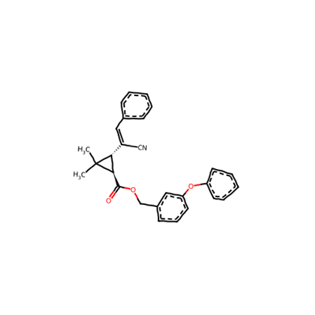 CC1(C)[C@H](C(=O)OCc2cccc(Oc3ccccc3)c2)[C@H]1/C(C#N)=C/c1ccccc1